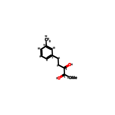 COC(=O)C(=O)CCc1cccc(C(F)(F)F)c1